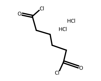 Cl.Cl.O=C(Cl)CCCCC(=O)Cl